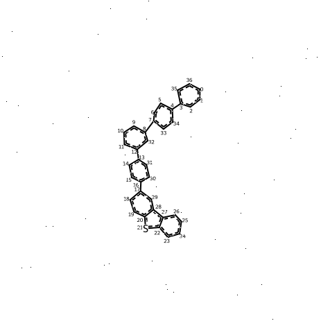 c1ccc(-c2ccc(-c3cccc(-c4ccc(-c5ccc6sc7ccccc7c6c5)cc4)c3)cc2)cc1